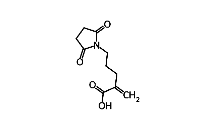 C=C(CCCN1C(=O)CCC1=O)C(=O)O